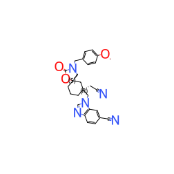 COc1ccc(CN2C[C@@]3(CCC[C@](CC#N)(Cn4cnc5ccc(C#N)cc54)C3)OC2=O)cc1